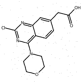 O=C(O)Cc1ccc2c(N3CCOCC3)nc(Cl)nc2c1